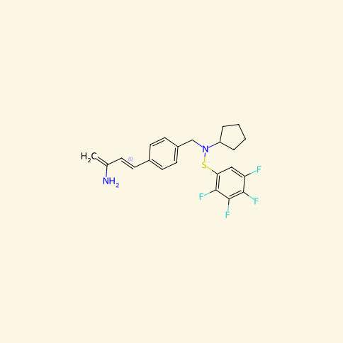 C=C(N)/C=C/c1ccc(CN(Sc2cc(F)c(F)c(F)c2F)C2CCCC2)cc1